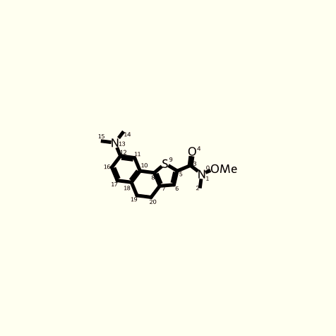 CON(C)C(=O)c1cc2c(s1)-c1cc(N(C)C)ccc1CC2